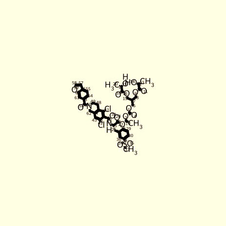 CC(OC(=O)OCC(COC(=O)C(C)O)COC(=O)[C@@H](C)O)OC(=O)[C@H](Cc1cccc(S(C)(=O)=O)c1)NC(=O)c1c(Cl)cc2c(c1Cl)CCN(C(=O)c1ccc3ccoc3c1)C2